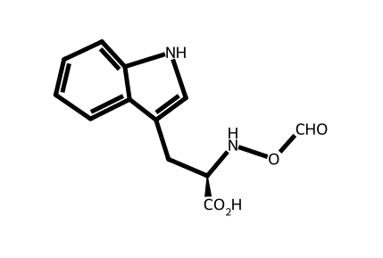 O=CON[C@H](Cc1c[nH]c2ccccc12)C(=O)O